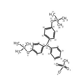 CS(=O)(=O)[O-].C[Si](C)(C)Oc1ccc([S+](c2ccccc2)c2ccc(O[Si](C)(C)C)cc2)cc1